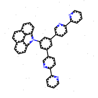 c1ccc(-c2ccc(-c3cc(-c4ccc(-c5ccccn5)nc4)cc(-n4c5cccc6ccc7cccc4c7c65)c3)cn2)nc1